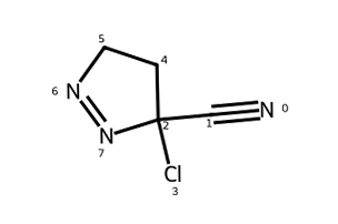 N#CC1(Cl)CCN=N1